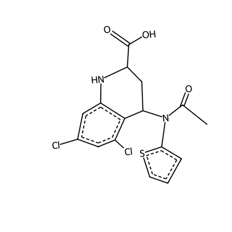 CC(=O)N(c1cccs1)C1CC(C(=O)O)Nc2cc(Cl)cc(Cl)c21